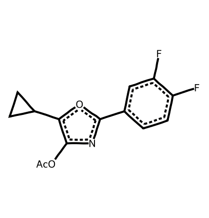 CC(=O)Oc1nc(-c2ccc(F)c(F)c2)oc1C1CC1